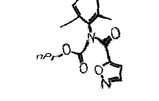 CCCOC(=O)N(C(=O)c1ccno1)c1c(C)cccc1C